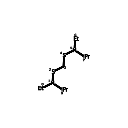 CCN(SCSN(CC)C(C)C)C(C)C